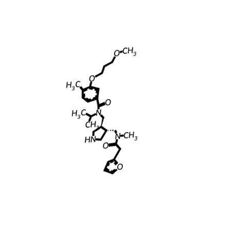 COCCCOc1cc(C(=O)N(C[C@@H]2CNC[C@H]2CN(C)C(=O)Cc2ccco2)C(C)C)ccc1C